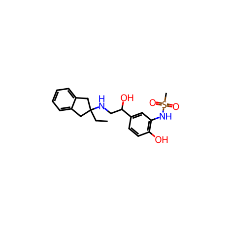 CCC1(NCC(O)c2ccc(O)c(NS(C)(=O)=O)c2)Cc2ccccc2C1